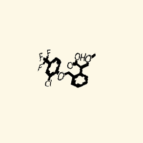 COC=C(C(=O)O)c1ccccc1COc1ccc(C(F)(F)F)cc1Cl